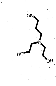 CC(C)(C)CCCN(CCO)CCO